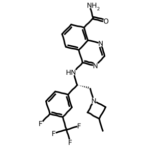 CC1CN(C[C@@H](Nc2ncnc3c(C(N)=O)cccc23)c2ccc(F)c(C(F)(F)F)c2)C1